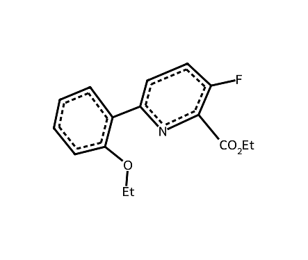 CCOC(=O)c1nc(-c2ccccc2OCC)ccc1F